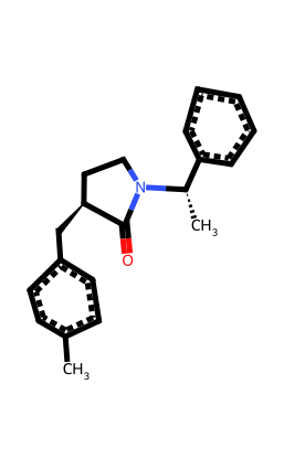 Cc1ccc(C[C@H]2CCN([C@@H](C)c3ccccc3)C2=O)cc1